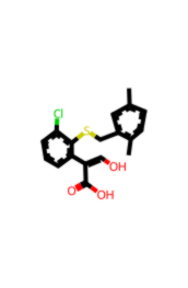 Cc1ccc(C)c(CSc2c(Cl)cccc2C(=CO)C(=O)O)c1